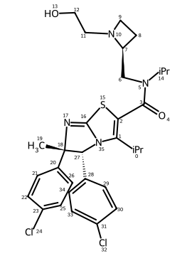 CC(C)C1=C(C(=O)N(C[C@@H]2CCN2CCO)C(C)C)SC2=N[C@@](C)(c3ccc(Cl)cc3)[C@@H](c3ccc(Cl)cc3)N21